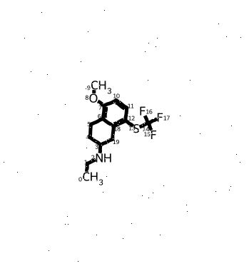 CCNC1CCc2c(OC)ccc(SC(F)(F)F)c2C1